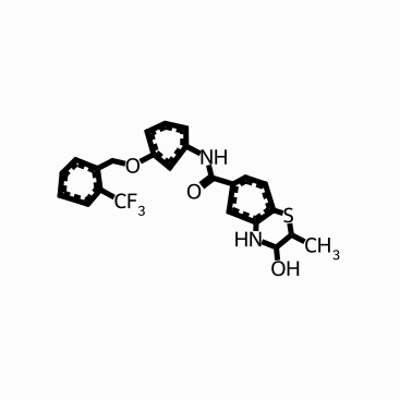 CC1Sc2ccc(C(=O)Nc3cccc(OCc4ccccc4C(F)(F)F)c3)cc2NC1O